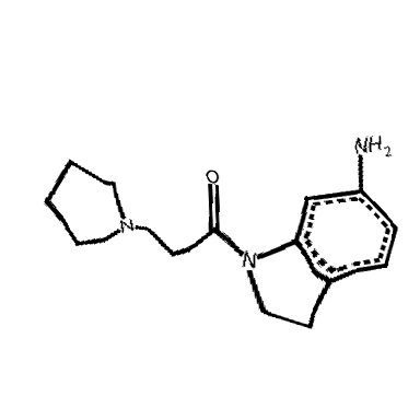 Nc1ccc2c(c1)N(C(=O)CN1CCCC1)CC2